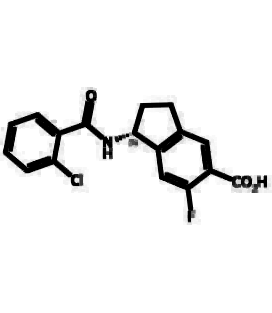 O=C(O)c1cc2c(cc1F)[C@H](NC(=O)c1ccccc1Cl)CC2